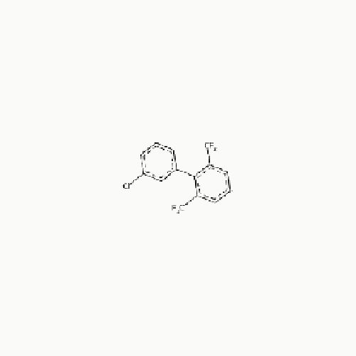 FC(F)(F)c1c[c]cc(C(F)(F)F)c1-c1cccc(Cl)c1